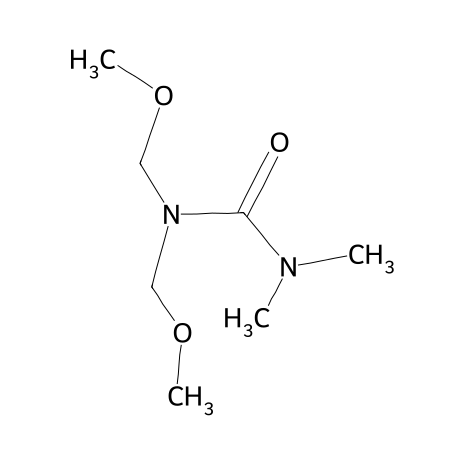 COCN(COC)C(=O)N(C)C